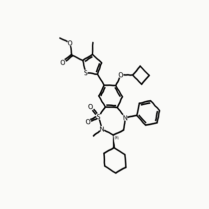 COC(=O)c1sc(-c2cc3c(cc2OC2CCC2)N(c2ccccc2)C[C@@H](C2CCCCC2)N(C)S3(=O)=O)cc1C